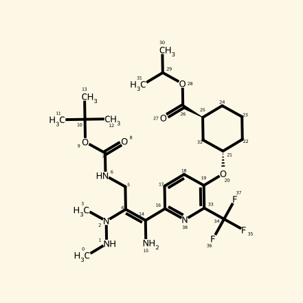 CNN(C)/C(CNC(=O)OC(C)(C)C)=C(\N)c1ccc(O[C@H]2CCC[C@H](C(=O)OC(C)C)C2)c(C(F)(F)F)n1